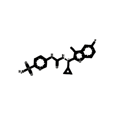 Cc1c([C@@H](NC(=O)Nc2ccc(S(N)(=O)=O)nc2)C2CC2)oc2ccc(F)cc12